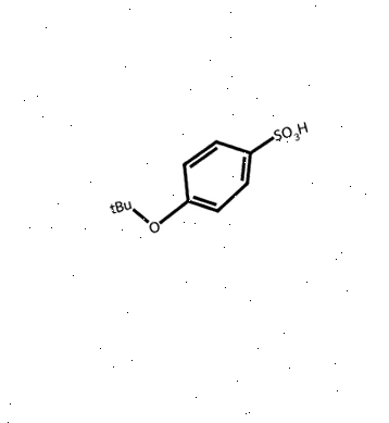 CC(C)(C)Oc1ccc(S(=O)(=O)O)cc1